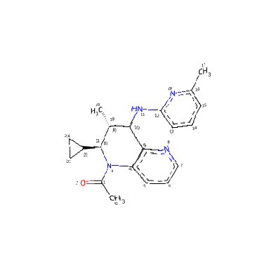 CC(=O)N1c2cccnc2C(Nc2cccc(C)n2)[C@@H](C)[C@@H]1C1CC1